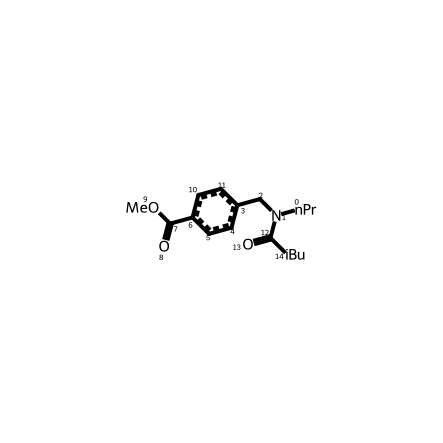 CCCN(Cc1ccc(C(=O)OC)cc1)C(=O)C(C)CC